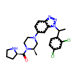 CC(c1ccc(Cl)cc1Cl)n1nnc2ccc(N3CCN(C(=O)[C@H]4CCCN4)[C@H](C)C3)cc21